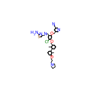 Cc1c(COc2cc(OCc3cncc(C#N)c3)c(CN(C)Cc3csc(N)n3)cc2Cl)cccc1-c1cccc(OCCCN2CCCC2)c1C